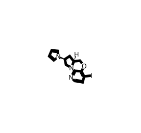 Ic1ccnc2c1OC[C@@H]1C[C@H](n3cccc3)CN21